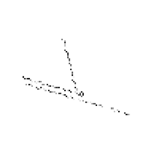 CCCCCCCCCCCCCCCCCCC(CCCCCCCCCCCCCCCCCC)C(=O)C(CCCCCCCCCCCCCCCCCC)CCCCCCCCCCCCCCCCCC